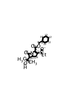 CC[S+]([O-])C1=C(C(=O)OCc2ccccc2)N2C(=O)C(C(C)(C)O)C2C1